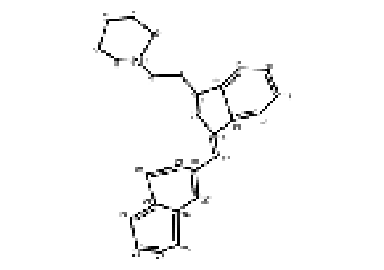 C1=C(CCN2CCCCC2)c2ccccc2/C1=C/c1ccc2ccccc2c1